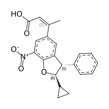 C/C(=C/C(=O)O)c1cc2c(c([N+](=O)[O-])c1)O[C@H](C1CC1)[C@H]2c1ccccc1